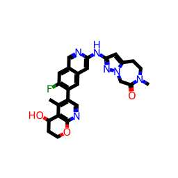 Cc1c(-c2cc3cc(Nc4cc5n(n4)CC(=O)N(C)CC5)ncc3cc2F)cnc2c1C(O)CCO2